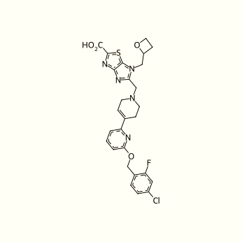 O=C(O)c1nc2nc(CN3CC=C(c4cccc(OCc5ccc(Cl)cc5F)n4)CC3)n(CC3CCO3)c2s1